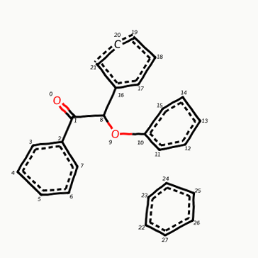 O=C(c1ccccc1)C(Oc1ccccc1)c1ccccc1.c1ccccc1